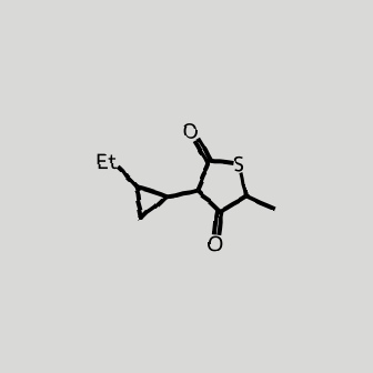 CCC1CC1C1C(=O)SC(C)C1=O